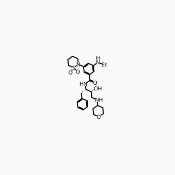 CCNc1cc(C(=O)N[C@@H](Cc2ccccc2)[C@H](O)CNC2CCOCC2)cc(N2CCCCS2(=O)=O)c1